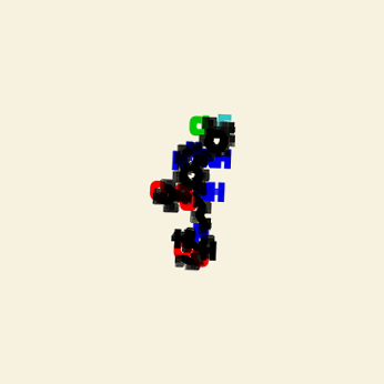 O=C(C=CCN1C[C@@H]2OCCO[C@@H]2C1)Nc1cc2c(Nc3ccc(F)c(Cl)c3)ncnc2cc1O[C@H]1CCOC1